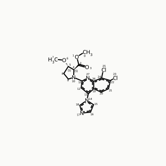 COC(=O)[C@@H]1[C@@H](OC)CCN1c1cc(-n2ccnc2)c2ccc(Cl)c(Cl)c2n1